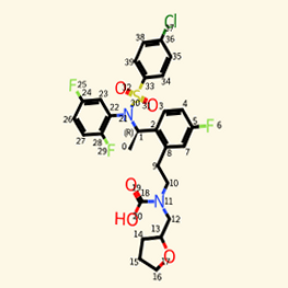 C[C@H](c1ccc(F)cc1CCN(CC1CCCO1)C(=O)O)N(c1cc(F)ccc1F)S(=O)(=O)c1ccc(Cl)cc1